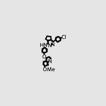 COc1ccc2c(Oc3ccc(Nc4nnc(-c5ccc(Cl)cc5)c5c4CCC5)cc3)ccnc2c1